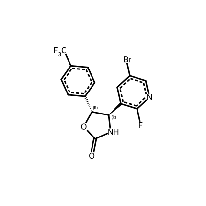 O=C1N[C@H](c2cc(Br)cnc2F)[C@@H](c2ccc(C(F)(F)F)cc2)O1